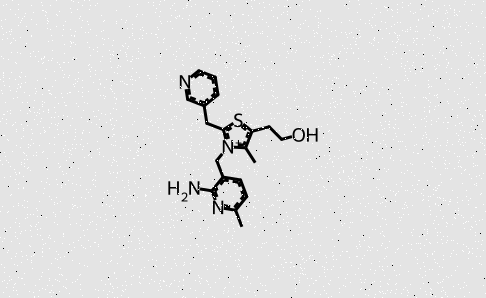 Cc1ccc(C[n+]2c(Cc3cccnc3)sc(CCO)c2C)c(N)n1